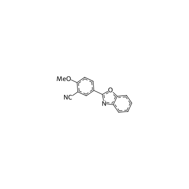 COc1ccc(-c2nc3ccccc3o2)cc1C#N